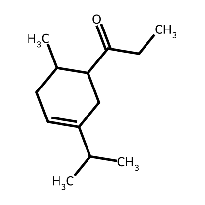 CCC(=O)C1CC(C(C)C)=CCC1C